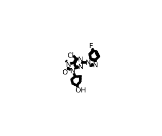 Cn1c(=O)n(C2CCC(O)CC2)c2nc(-n3cnc4ccc(F)cc43)nc(Cl)c21